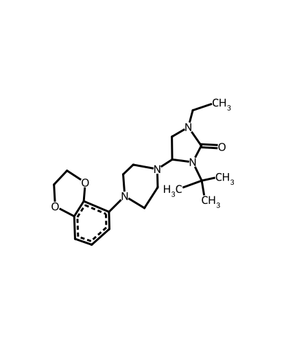 CCN1CC(N2CCN(c3cccc4c3OCCO4)CC2)N(C(C)(C)C)C1=O